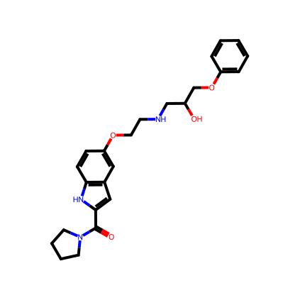 O=C(c1cc2cc(OCCNCC(O)COc3ccccc3)ccc2[nH]1)N1CCCC1